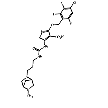 CN1CC2CC1CN2CCCNC(=O)Nc1snc(OCc2c(F)cc(Cl)c(F)c2F)c1C(=O)O